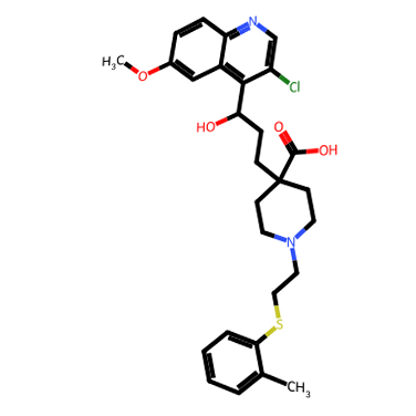 COc1ccc2ncc(Cl)c(C(O)CCC3(C(=O)O)CCN(CCSc4ccccc4C)CC3)c2c1